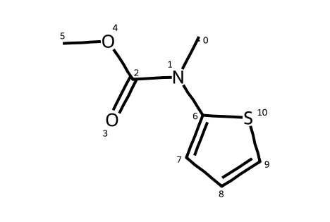 [CH2]N(C(=O)OC)c1cccs1